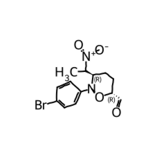 CC([C@H]1CC[C@H](C=O)ON1c1ccc(Br)cc1)[N+](=O)[O-]